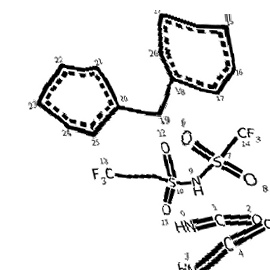 N=C=O.N=C=O.O=S(=O)(NS(=O)(=O)C(F)(F)F)C(F)(F)F.c1ccc(Cc2ccccc2)cc1